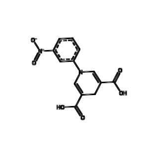 O=C(O)C1=CN(c2cccc([N+](=O)[O-])c2)C=C(C(=O)O)C1